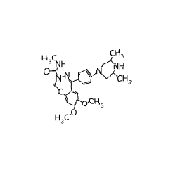 CNC(=O)N1CCc2cc(OC)c(OC)cc2C(c2ccc(N3CC(C)NC(C)C3)cc2)=N1